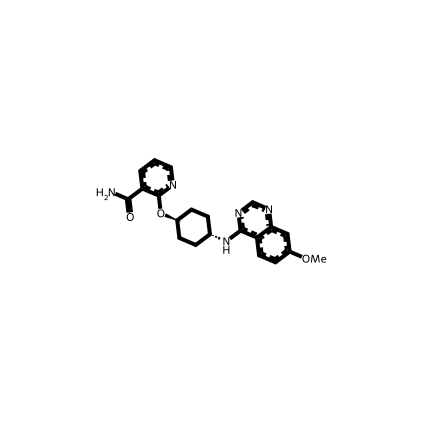 COc1ccc2c(N[C@H]3CC[C@H](Oc4ncccc4C(N)=O)CC3)ncnc2c1